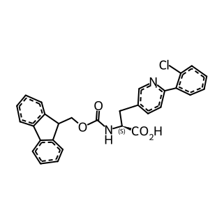 O=C(N[C@@H](Cc1ccc(-c2ccccc2Cl)nc1)C(=O)O)OCC1c2ccccc2-c2ccccc21